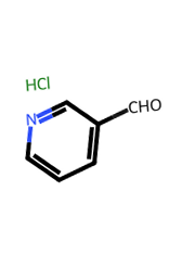 Cl.O=Cc1cccnc1